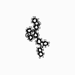 c1ccc2cc(-n3c4ccccc4c4cc(-c5ccc(N(c6ccc7sc8ccccc8c7c6)c6cccc7oc8ccccc8c67)cc5)ccc43)ccc2c1